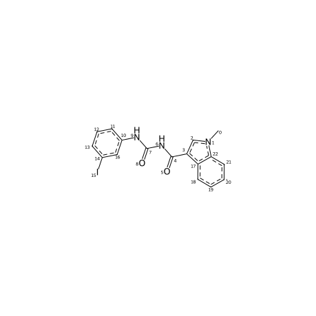 Cn1cc(C(=O)NC(=O)Nc2cccc(I)c2)c2cc[c]cc21